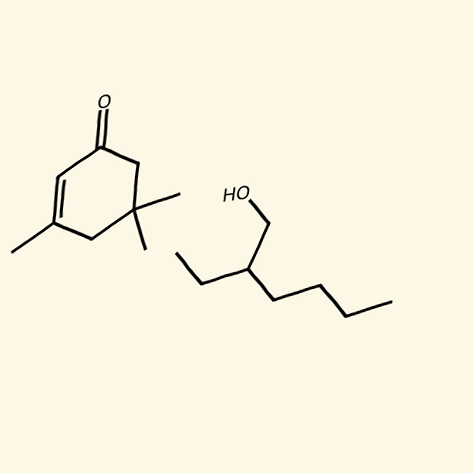 CC1=CC(=O)CC(C)(C)C1.CCCCC(CC)CO